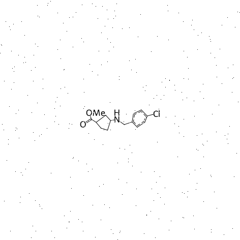 COC(=O)C1CCC(NCc2ccc(Cl)cc2)C1